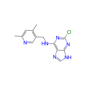 Cc1cc(C)c(CNc2nc(Cl)nc3[nH]cnc23)cn1